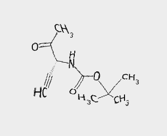 C#C[C@@H](NC(=O)OC(C)(C)C)C(C)=O